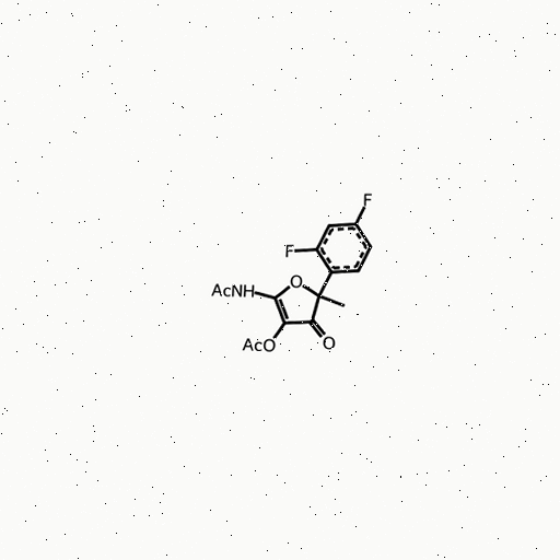 CC(=O)NC1=C(OC(C)=O)C(=O)C(C)(c2ccc(F)cc2F)O1